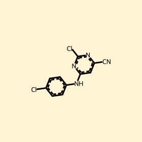 N#Cc1cc(Nc2ccc(Cl)cc2)nc(Cl)n1